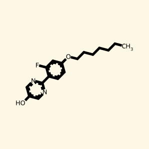 CCCCCCCOc1ccc(-c2ncc(O)cn2)c(F)c1